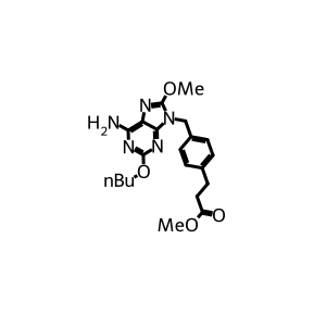 CCCCOc1nc(N)c2nc(OC)n(Cc3ccc(CCC(=O)OC)cc3)c2n1